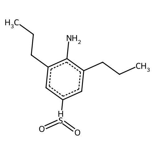 CCCc1cc([SH](=O)=O)cc(CCC)c1N